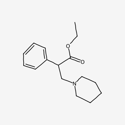 CCOC(=O)C(CN1CCCCC1)c1ccccc1